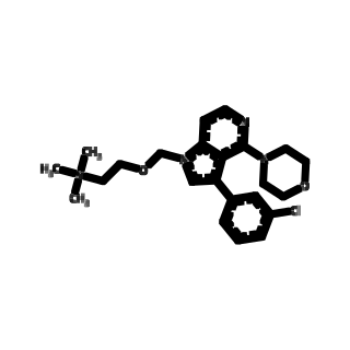 C[Si](C)(C)CCOCn1cc(-c2cccc(Cl)c2)c2c(N3CCOCC3)nccc21